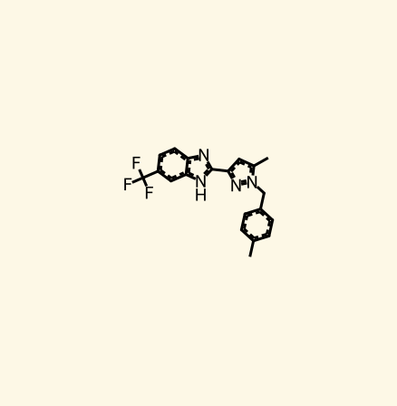 Cc1ccc(Cn2nc(-c3nc4ccc(C(F)(F)F)cc4[nH]3)cc2C)cc1